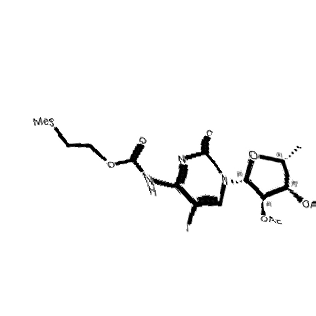 CSCCOC(=O)Nc1nc(=O)n([C@@H]2O[C@H](C)[C@@H](OC(C)=O)[C@H]2OC(C)=O)cc1I